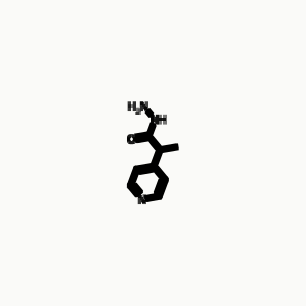 CC(C(=O)NN)c1ccncc1